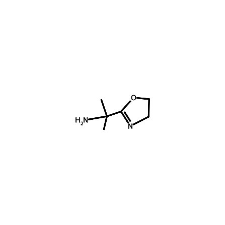 CC(C)(N)C1=NCCO1